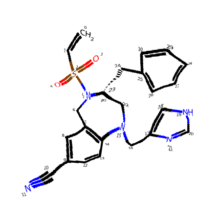 C=CS(=O)(=O)N1Cc2cc(C#N)ccc2N(Cc2c[nH]cn2)C[C@H]1Cc1ccccc1